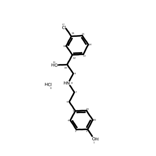 Cl.Oc1ccc(CCNCC(O)c2cccc(Cl)c2)cc1